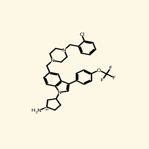 N[C@@H]1CCC(n2cc(-c3ccc(OC(F)(F)F)cc3)c3cc(CN4CCN(Cc5ccccc5Cl)CC4)ccc32)C1